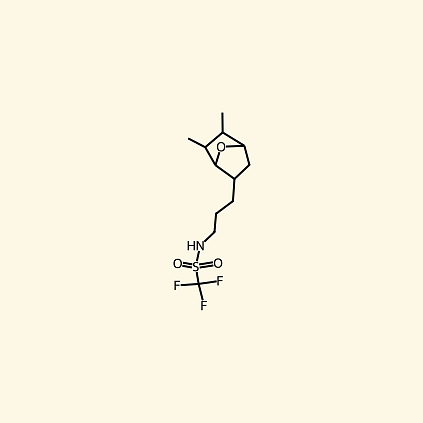 CC1C2CC(CCCNS(=O)(=O)C(F)(F)F)C(O2)C1C